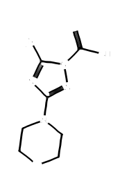 Nc1nc(N2CCOCC2)nn1C(=S)S